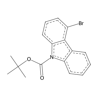 CC(C)(C)OC(=O)n1c2ccccc2c2c(Br)cccc21